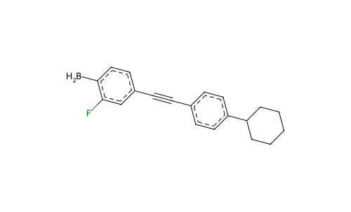 Bc1ccc(C#Cc2ccc(C3CCCCC3)cc2)cc1F